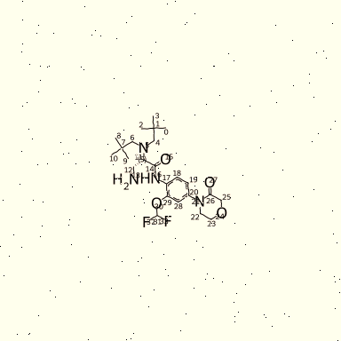 CC(C)(C)CN(CC(C)(C)C)[C@@H](CN)C(=O)Nc1ccc(N2CCOCC2=O)cc1OC(F)F